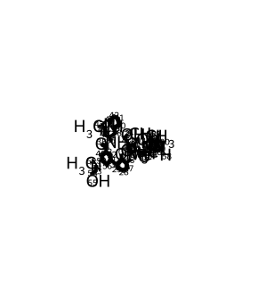 COc1c(CN2O[C@@H](CO)[C@@H]([C@H](C)O)[C@H]2C(=O)N[C@H]2C[C@H]3C[C@@H]([C@@H]2C)C3(C)C)cccc1-c1cc(C(=O)NC(Cc2ccccn2)CN(C)C)cc(N(C)CCO)c1